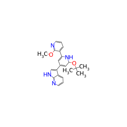 COc1ncccc1C1=CC(c2c[nH]c3ncccc23)=CC(OC(C)(C)C)N1